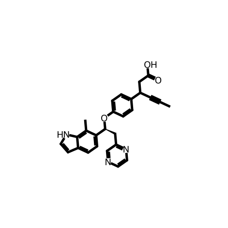 CC#CC(CC(=O)O)c1ccc(O[C@@H](Cc2cnccn2)c2ccc3cc[nH]c3c2C)cc1